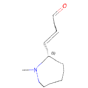 CN1CCC[C@H]1C=CC=O